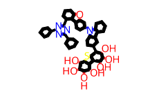 Oc1c(O)c(O)c2c(sc3c(-c4ccc5c(c4)c4ccccc4n5-c4ccc5c(c4)oc4cccc(-c6nc(-c7ccccc7)nc(-c7ccccc7)n6)c45)c(O)c(O)c(O)c32)c1O